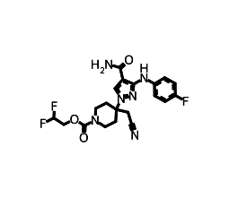 N#CCC1(n2cc(C(N)=O)c(Nc3ccc(F)cc3)n2)CCN(C(=O)OCC(F)F)CC1